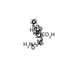 NC(=O)CCc1csc(SC2=C(C(=O)O)N3C(=O)[C@@H](NC(=O)Cc4ccsc4)[C@@H]3SC2)n1